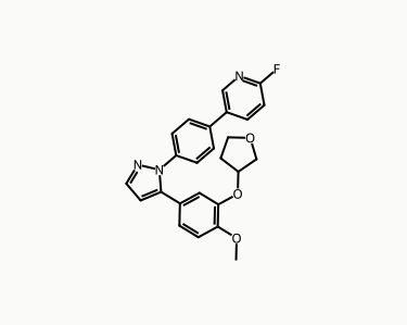 COc1ccc(-c2ccnn2-c2ccc(-c3ccc(F)nc3)cc2)cc1OC1CCOC1